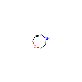 [C]1=CCOCCN1